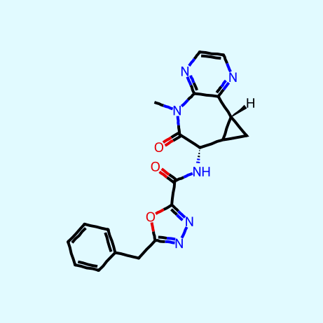 CN1C(=O)[C@@H](NC(=O)c2nnc(Cc3ccccc3)o2)C2C[C@H]2c2nccnc21